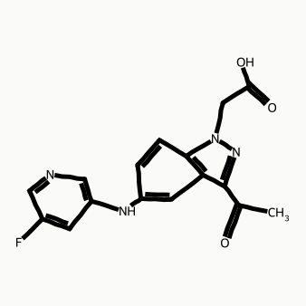 CC(=O)c1nn(CC(=O)O)c2ccc(Nc3cncc(F)c3)cc12